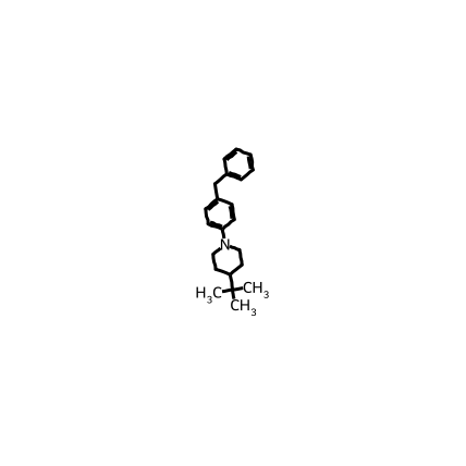 CC(C)(C)C1CCN(c2ccc(Cc3ccccc3)cc2)CC1